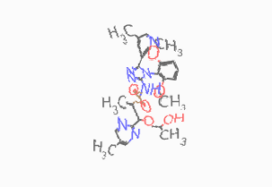 COc1cccc(OC)c1-n1c(NS(=O)(=O)C(C)C(OCC(C)O)c2ncc(C)cn2)nnc1-c1cncc(C)c1